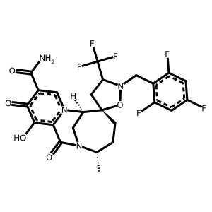 C[C@H]1CC[C@]2(CC(C(F)(F)F)N(Cc3c(F)cc(F)cc3F)O2)[C@H]2CN1C(=O)c1c(O)c(=O)c(C(N)=O)cn12